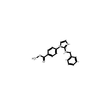 COC(=O)c1ccc(-n2ccnc2OCc2ccccc2)cc1